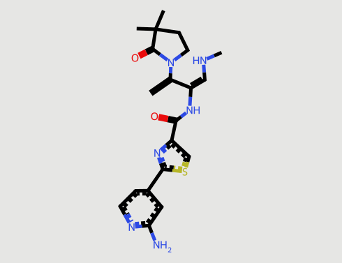 C=C(/C(=C\NC)NC(=O)c1csc(-c2ccnc(N)c2)n1)N1CCC(C)(C)C1=O